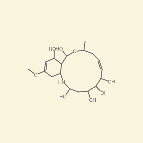 COC1=CC(O)C2C(C1)NC(O)CC(O)C(O)C(O)/C=C\CC(C)OC2O